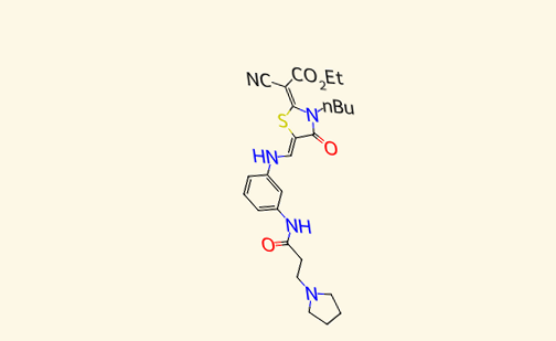 CCCCn1c(=C(C#N)C(=O)OCC)sc(=CNc2cccc(NC(=O)CCN3CCCC3)c2)c1=O